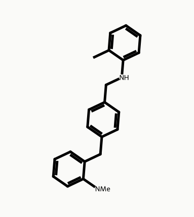 CNc1ccccc1Cc1ccc(CNc2ccccc2C)cc1